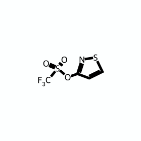 O=S(=O)(Oc1ccsn1)C(F)(F)F